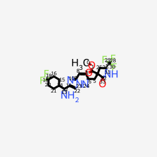 COC(=O)C1(Cc2ccc3nc([C@@H](N)C4CCC(F)(F)CC4)cn3n2)C[C@@H](C(F)(F)F)NC1=O